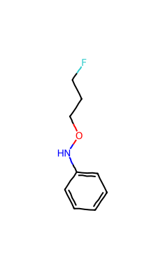 FCCCONc1ccccc1